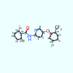 O=C(Nc1ccc(Oc2cc(F)ccc2C(F)(F)F)cn1)c1c(F)cccc1F